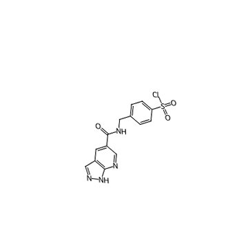 O=C(NCc1ccc(S(=O)(=O)Cl)cc1)c1cnc2[nH]ncc2c1